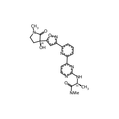 CNC(=O)[C@H](C)Nc1nccc(-c2cccc(-c3cc([C@]4(O)CCN(C)C4=O)on3)n2)n1